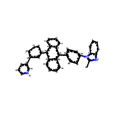 Cc1nc2ccccc2n1-c1ccc(-c2c3ccccc3c(-c3cccc(-c4cccnc4)c3)c3ccccc23)cc1